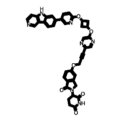 O=C1CCC(N2Cc3cc(OCC#Cc4cnc(OC5CC(Oc6ccc(-c7ccc8c(c7)[nH]c7ccncc78)cn6)C5)cn4)ccc3C2=O)C(=O)N1